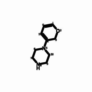 C1=COCC(N2CCNCC2)=C1